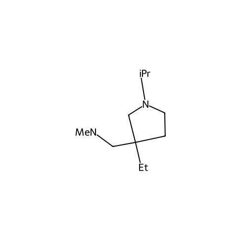 CCC1(CNC)CCN(C(C)C)C1